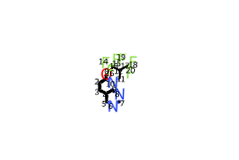 O=c1ccc2cncnc2n1CC(C(F)(F)F)C(F)(F)F